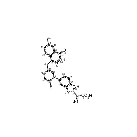 CCN(C(=O)O)c1nc2cc(-c3cc(Cc4n[nH]c(=O)c5cc(C)ccc45)ccc3F)ccc2[nH]1